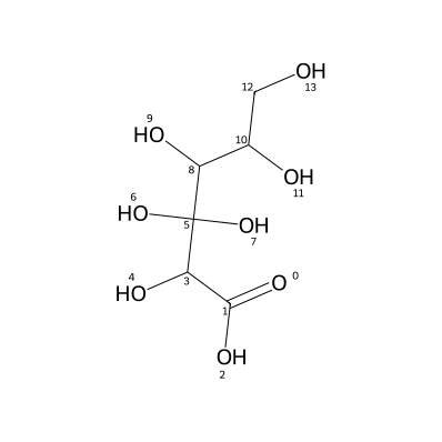 O=C(O)C(O)C(O)(O)C(O)C(O)CO